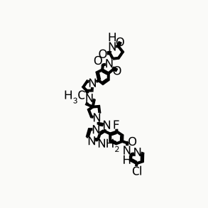 C[C@]1(N2CC3(CCN(c4nc(-c5ccc(C(=O)Nc6cc(Cl)ccn6)cc5F)c5c(N)nccn45)CC3)C2)CCN(c2ccc3c(c2)C(=O)N(C2CCC(=O)NC2=O)C3=O)C1